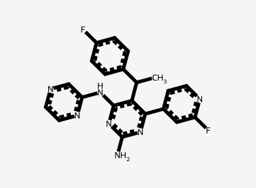 CC(c1ccc(F)cc1)c1c(Nc2cnccn2)nc(N)nc1-c1ccnc(F)c1